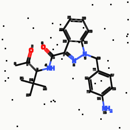 CC(=O)C(NC(=O)c1nn(Cc2ccc(N)cc2)c2ccccc12)C(C)(C)C